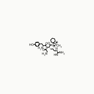 CS(=O)(=O)C1(OC(=O)[C@H](CCCNC(=N)N)N(C(=O)CN)C(=O)[C@@H](N)Cc2ccc(O)cc2)CCCCC1